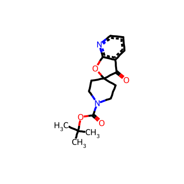 CC(C)(C)OC(=O)N1CCC2(CC1)Oc1ncccc1C2=O